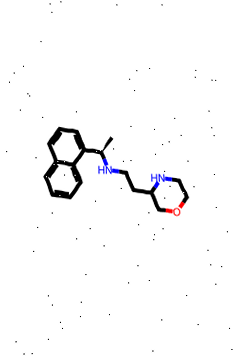 C[C@@H](NCCC1COCCN1)c1cccc2ccccc12